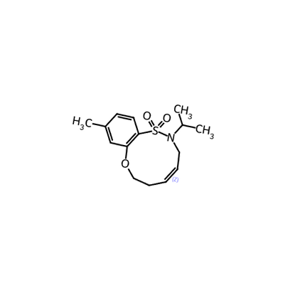 Cc1ccc2c(c1)OCC/C=C\CN(C(C)C)S2(=O)=O